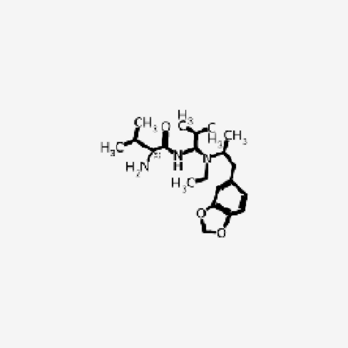 CCN(C(C)Cc1ccc2c(c1)OCO2)C(NC(=O)[C@@H](N)C(C)C)C(C)C